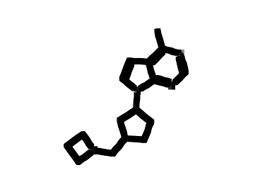 Cc1ncnc2c1ccn2C1CCC(CN2CCC2)C1